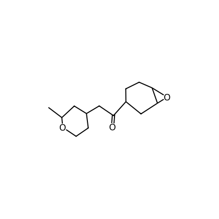 CC1CC(CC(=O)C2CCC3OC3C2)CCO1